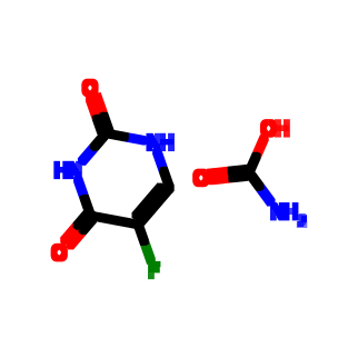 NC(=O)O.O=c1[nH]cc(F)c(=O)[nH]1